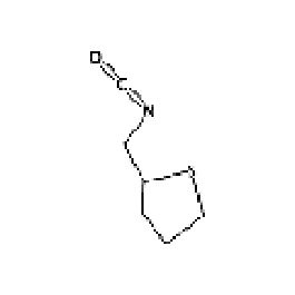 O=C=NCC1CCCS1